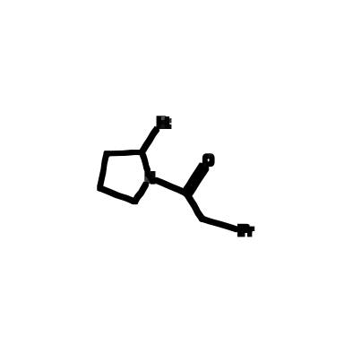 CCC1CCCN1C(=O)CC(C)C